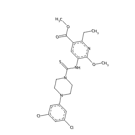 CCc1nc(OC)c(NC(=S)N2CCN(c3cc(Cl)cc(Cl)c3)CC2)cc1C(=O)OC